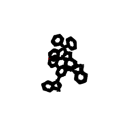 c1ccc(S(c2ccccc2)(c2ccccc2)c2nc3ccccc3n2-c2ccccc2-c2cc(-n3cnc4ccccc43)cc(-n3cnc4ccccc43)c2)cc1